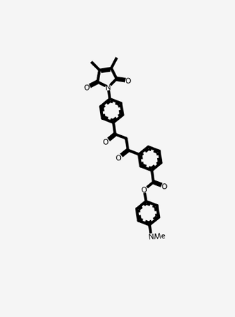 CNc1ccc(OC(=O)c2cccc(C(=O)CC(=O)c3ccc(N4C(=O)C(C)=C(C)C4=O)cc3)c2)cc1